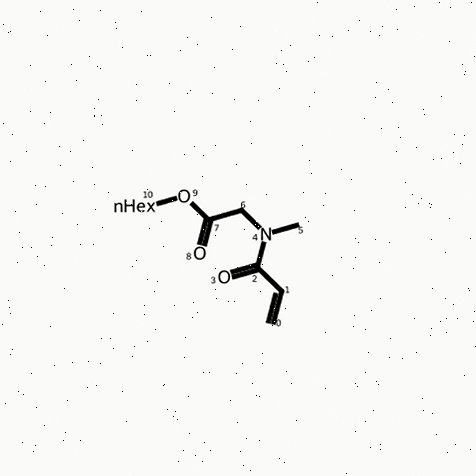 C=CC(=O)N(C)CC(=O)OCCCCCC